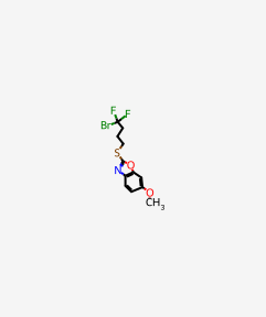 COc1ccc2nc(SCCCC(F)(F)Br)oc2c1